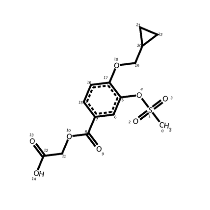 CS(=O)(=O)Oc1cc(C(=O)OCC(=O)O)ccc1OCC1CC1